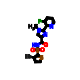 CCc1ccsc1S(=O)(=O)NC(=O)c1cn(C)c(-c2ncccc2F)n1